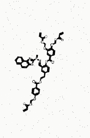 C=CC(=O)OCOc1ccc(C(=O)OCCc2ccc(OC(=O)c3ccc(OCOC(=O)C=C)c(OCOC(=O)C=C)c3)c(/C=N/N(C)c3nc4c(ccc5ccccc54)s3)c2)cc1